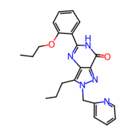 CCCOc1ccccc1-c1nc2c(CCC)n(Cc3ccccn3)nc2c(=O)[nH]1